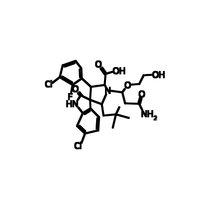 CC(C)(C)CC1N(C(CC(N)=O)OCCO)C(C(=O)O)C(c2cccc(Cl)c2F)C12C(=O)Nc1cc(Cl)ccc12